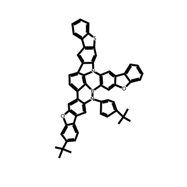 CC(C)(C)c1ccc(N2B3c4cc5oc6ccccc6c5cc4-n4c5cc6sc7ccccc7c6cc5c5ccc(c3c54)-c3cc4oc5cc(C(C)(C)C)ccc5c4cc32)cc1